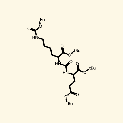 CC(C)(C)OC(=O)CCC(NC(=O)NC(CCCCNC(=O)OC(C)(C)C)C(=O)OC(C)(C)C)C(=O)OC(C)(C)C